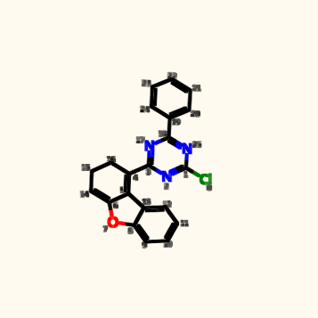 Clc1nc(C2=c3c(oc4ccccc34)=CCC2)nc(-c2ccccc2)n1